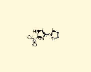 O=[N+]([O-])c1nc(N2CCCO2)c[nH]1